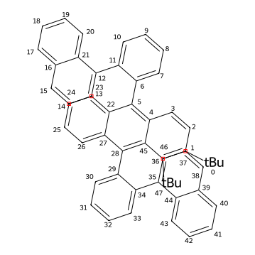 CC(C)(C)c1ccc2c(-c3ccccc3-c3cccc4ccccc34)c3ccccc3c(-c3ccccc3-c3cccc4ccccc34)c2c1C(C)(C)C